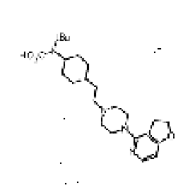 CC(C)(C)N(C(=O)O)C1CCC(CCN2CCN(c3nccc4c3CCO4)CC2)CC1